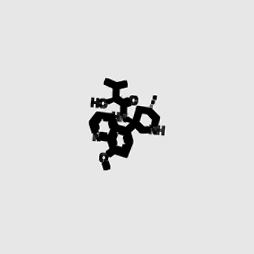 COc1ccc([C@@]2(NC(=O)[C@@H](O)C(C)C)CNC[C@@H](C)C2)c2cccnc12